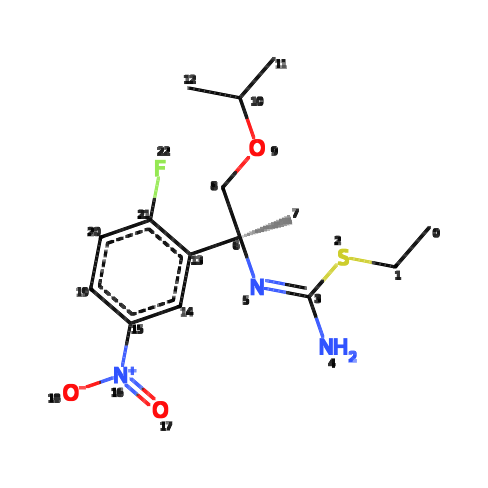 CCS/C(N)=N\[C@](C)(COC(C)C)c1cc([N+](=O)[O-])ccc1F